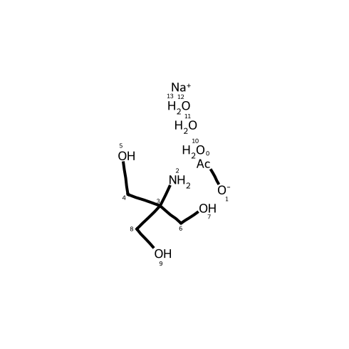 CC(=O)[O-].NC(CO)(CO)CO.O.O.O.[Na+]